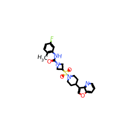 Cc1ccc(F)cc1NC(=O)N1CC(S(=O)(=O)N2CCC(c3coc4cccnc34)CC2)C1